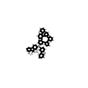 CC1(C)c2ccccc2-c2ccc(N(c3ccc4oc5ccccc5c4c3)c3ccc4c(c3)c3ccccc3c3ccccc3c3ccccc3c3c4ccc4sc5ccccc5c43)cc21